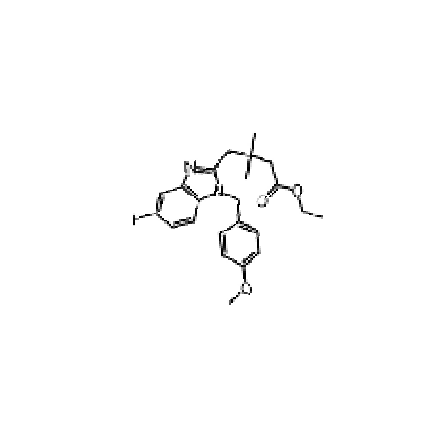 CCOC(=O)CC(C)(C)Cc1nc2cc(F)ccc2n1Cc1ccc(OC)cc1